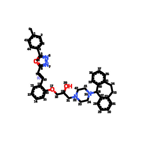 Cc1ccc(-c2nnc(/C=C/c3ccccc3OCC(O)CN3CCN(C4c5ccccc5CCc5ccccc54)CC3)o2)cc1